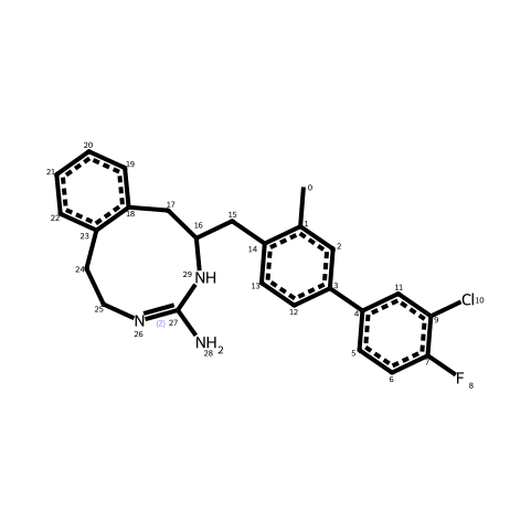 Cc1cc(-c2ccc(F)c(Cl)c2)ccc1CC1Cc2ccccc2CC/N=C(/N)N1